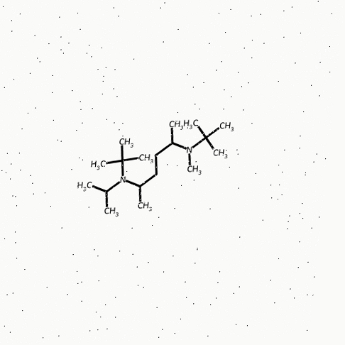 CC(CCC(C)N(C(C)C)C(C)(C)C)N(C)C(C)(C)C